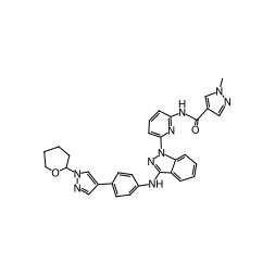 Cn1cc(C(=O)Nc2cccc(-n3nc(Nc4ccc(-c5cnn(C6CCCCO6)c5)cc4)c4ccccc43)n2)cn1